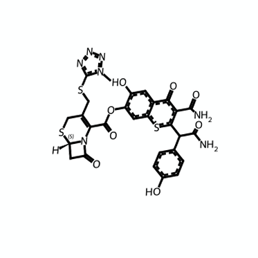 Cn1nnnc1SCC1=C(C(=O)Oc2cc3sc(C(C(N)=O)c4ccc(O)cc4)c(C(N)=O)c(=O)c3cc2O)N2C(=O)C[C@@H]2SC1